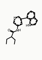 CCC(CC)C(=O)Nc1cncc(-c2cccc3cc[nH]c23)c1